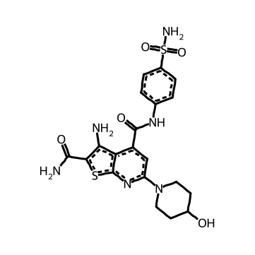 NC(=O)c1sc2nc(N3CCC(O)CC3)cc(C(=O)Nc3ccc(S(N)(=O)=O)cc3)c2c1N